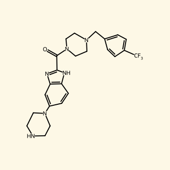 O=C(c1nc2cc(N3CCNCC3)ccc2[nH]1)N1CCN(Cc2ccc(C(F)(F)F)cc2)CC1